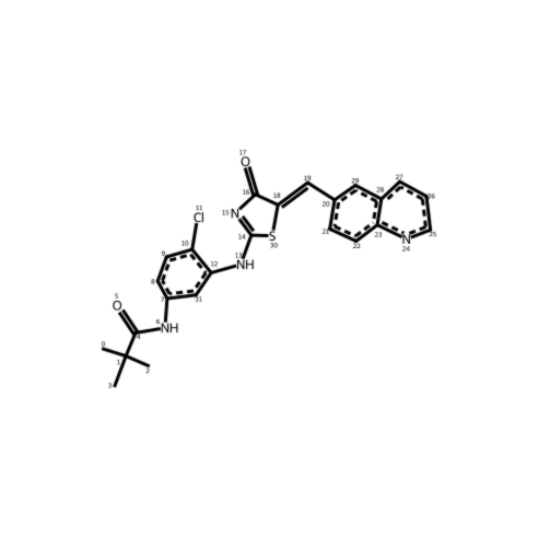 CC(C)(C)C(=O)Nc1ccc(Cl)c(NC2=NC(=O)/C(=C/c3ccc4ncccc4c3)S2)c1